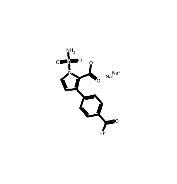 NS(=O)(=O)n1ccc(-c2ccc(C(=O)[O-])cc2)c1C(=O)[O-].[Na+].[Na+]